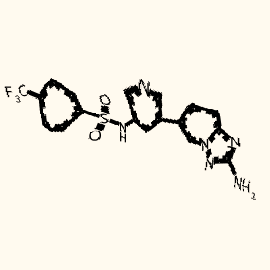 Nc1nc2ccc(-c3cncc(NS(=O)(=O)c4ccc(C(F)(F)F)cc4)c3)cn2n1